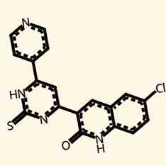 O=c1[nH]c2ccc(Cl)cc2cc1-c1cc(-c2ccncc2)[nH]c(=S)n1